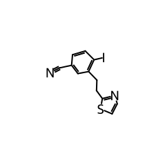 N#Cc1ccc(I)c(CCc2nccs2)c1